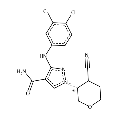 N#CC1CCOC[C@@H]1n1cc(C(N)=O)c(Nc2ccc(Cl)c(Cl)c2)n1